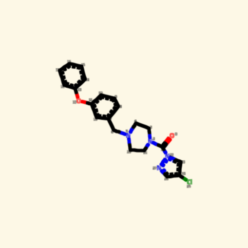 O=C(N1CCN(Cc2cccc(Oc3ccccc3)c2)CC1)n1cc(Cl)cn1